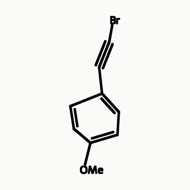 COc1ccc(C#CBr)cc1